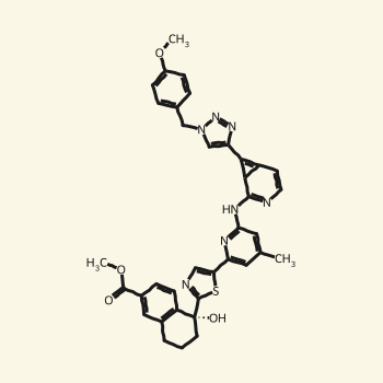 COC(=O)c1ccc2c(c1)CCC[C@]2(O)c1ncc(-c2cc(C)cc(NC3=NC=CC4=C(c5cn(Cc6ccc(OC)cc6)nn5)C34)n2)s1